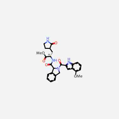 COC(=O)[C@H](CC1CCNC1=O)NC(=O)C1c2ccccc2CN1C(=O)c1cc2c(OC)cccc2[nH]1